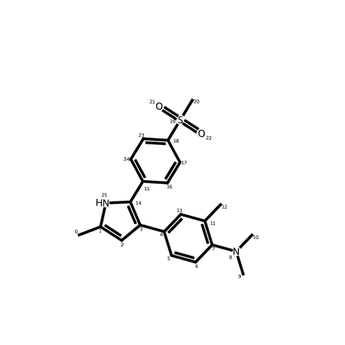 Cc1cc(-c2ccc(N(C)C)c(C)c2)c(-c2ccc(S(C)(=O)=O)cc2)[nH]1